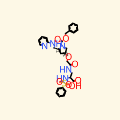 O=C(CO[C@@H]1C[C@@H](CNc2ccccn2)N(C(=O)OCc2ccccc2)C1)NCC(NS(=O)(=O)c1ccccc1)C(=O)O